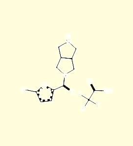 O=C(O)C(F)(F)F.O=C(c1ccc(Cl)o1)N1CC2CNCC2C1